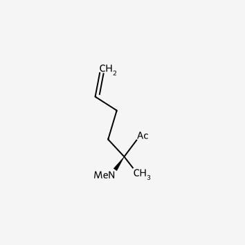 C=CCC[C@](C)(NC)C(C)=O